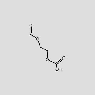 O=COCCOC(=O)O